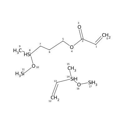 C=CC(=O)OCCC[SiH](C)O[SiH3].C=C[SiH](C)O[SiH3]